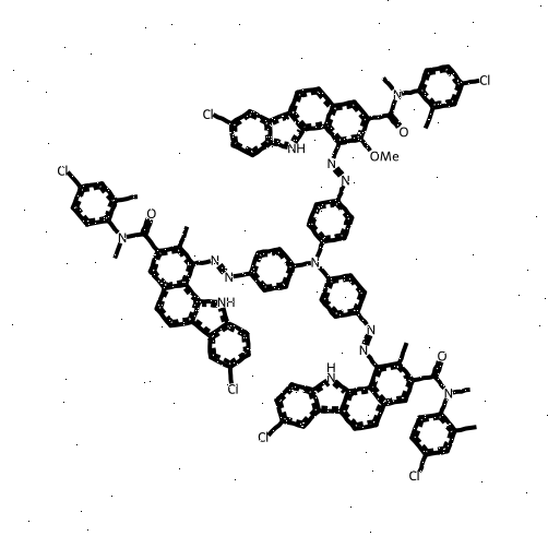 COc1c(C(=O)N(C)c2ccc(Cl)cc2C)cc2ccc3c4cc(Cl)ccc4[nH]c3c2c1N=Nc1ccc(N(c2ccc(N=Nc3c(C)c(C(=O)N(C)c4ccc(Cl)cc4C)cc4ccc5c6cc(Cl)ccc6[nH]c5c34)cc2)c2ccc(N=Nc3c(C)c(C(=O)N(C)c4ccc(Cl)cc4C)cc4ccc5c6cc(Cl)ccc6[nH]c5c34)cc2)cc1